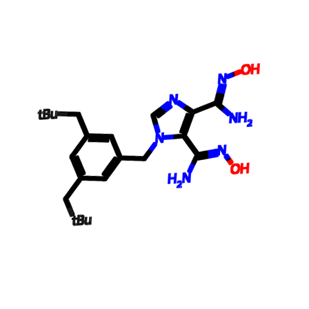 CC(C)(C)Cc1cc(Cn2cnc(/C(N)=N/O)c2/C(N)=N/O)cc(CC(C)(C)C)c1